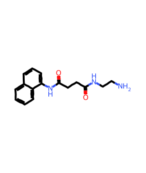 NCCNC(=O)CCC(=O)Nc1cccc2ccccc12